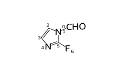 O=Cn1ccnc1F